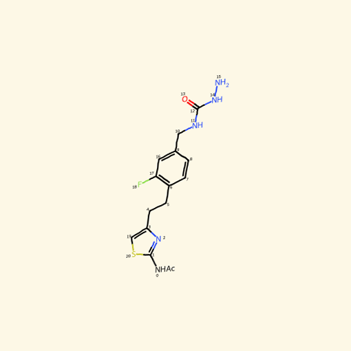 CC(=O)Nc1nc(CCc2ccc(CNC(=O)NN)cc2F)cs1